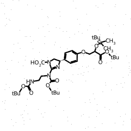 CC(C)(C)OC(=O)NCCN(C(=O)OC(C)(C)C)C1=N[C@@H](c2ccc(OCC(O[Si](C)(C)C(C)(C)C)C(=O)OC(C)(C)C)cc2)CN1C(=O)O